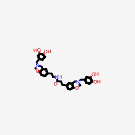 O=C(CCc1ccc2c(c1)CN(Cc1ccc(O)c(O)c1)CO2)NCCc1ccc2c(c1)CN(Cc1ccc(O)c(O)c1)CO2